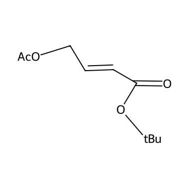 CC(=O)OCC=CC(=O)OC(C)(C)C